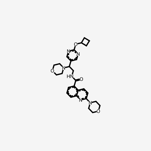 O=C(NCC(c1cnc(OC2CCC2)nc1)N1CCOCC1)c1cccc2nc(N3CCOCC3)ccc12